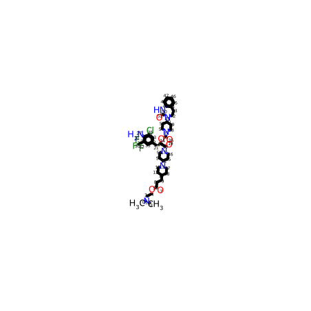 CN(C)CCOC(=O)CCC1CCN(C2CCN(C(=O)[C@@H](Cc3cc(Cl)c(N)c(C(F)(F)F)c3)OC(=O)N3CCC(N4CCc5ccccc5NC4=O)CC3)CC2)CC1